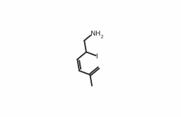 C=C(C)/C=C\C(I)CN